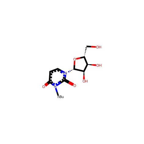 CCCCn1c(=O)ccn([C@@H]2O[C@H](CO)[C@@H](O)[C@H]2O)c1=O